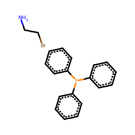 NCCBr.c1ccc(P(c2ccccc2)c2ccccc2)cc1